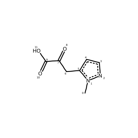 Cn1nccc1CC(=O)C(=O)O